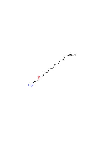 C#CCCCCCCCCCCOCCN